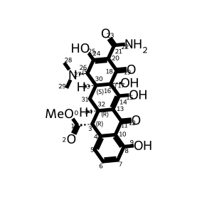 COC(=O)[C@H]1c2cccc(O)c2C(=O)C2=C(O)[C@]3(O)C(=O)C(C(N)=O)=C(O)[C@@H](N(C)C)[C@@H]3C[C@@H]21